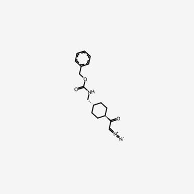 [N-]=[N+]=CC(=O)[C@H]1CC[C@H](CNC(=O)OCc2ccccc2)CC1